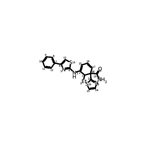 CCC1C(Nc2nc(-c3ccccc3)cs2)=CC=CC1(C(N)=O)c1nccs1